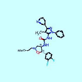 COCCN1C[C@@H](NC(=O)Nc2c(C)c(-c3cccnc3)nn2-c2ccccc2)[C@H](c2ccc(F)c(F)c2)O1